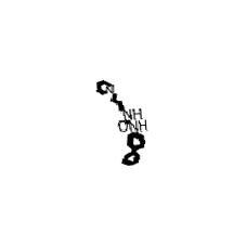 O=C(NCCCCN1CCCCC1)Nc1ccc(-c2ccccc2)cc1